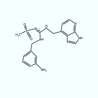 CS(=O)(=O)/N=C(\NCc1cccc(N)c1)NCc1ccnc2[nH]ccc12